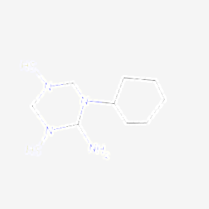 NC1N(S)CN(S)CN1C1CCCCC1